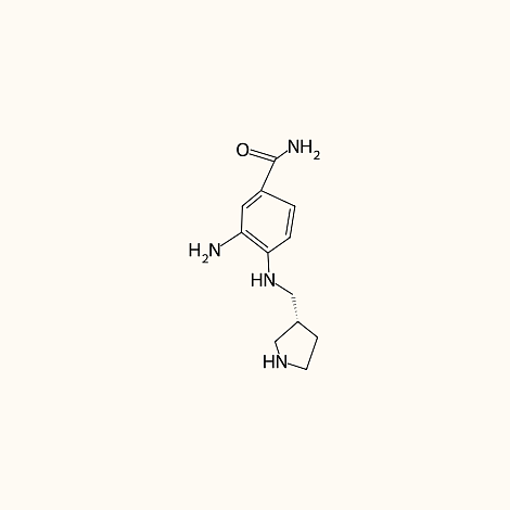 NC(=O)c1ccc(NC[C@@H]2CCNC2)c(N)c1